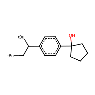 CC(C)(C)CC(c1ccc(C2(O)CCCC2)cc1)C(C)(C)C